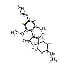 C/C=C/c1cc(C)c(C2=C(O)C3(CCC(OC)CC3)NC2=O)c(OC)c1